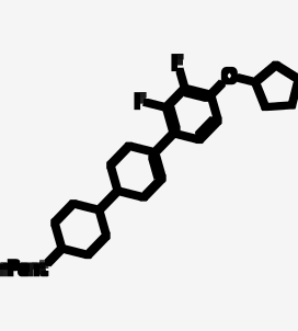 CCCCCC1CCC(C2CC=C(c3ccc(OC4CCCC4)c(F)c3F)CC2)CC1